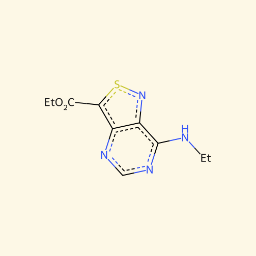 CCNc1ncnc2c(C(=O)OCC)snc12